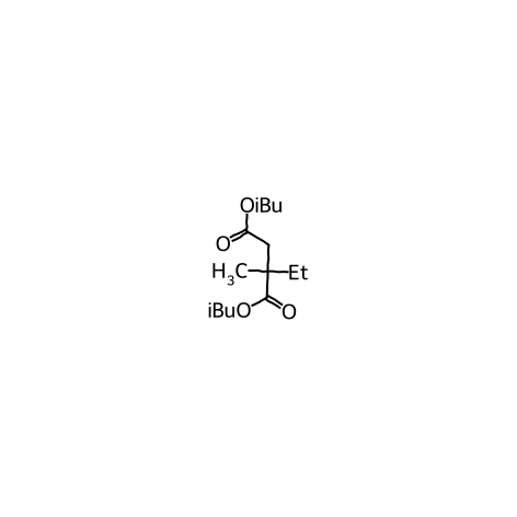 CCC(C)(CC(=O)OCC(C)C)C(=O)OCC(C)C